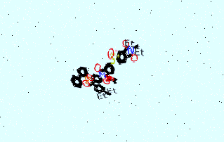 C=C(C)C(=O)Oc1cc(C(C)(c2ccc(C(C)(CC)CC)cc2)P2(=O)Oc3ccccc3-c3ccccc32)ccc1N1C(=O)c2ccc([S+]([O-])c3ccc4c(c3)C(=O)N(C(C)(CC)CC)C4=O)cc2C1=O